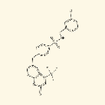 O=c1cc(C(F)(F)F)c2cc(Cc3ccc(S(=O)(=O)NCc4cccc(Cl)c4)cc3)ccc2o1